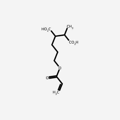 C=CC(=O)OCCCC(C(=O)O)C(C)C(=O)O